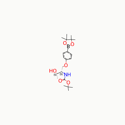 C[C@H](O)[C@H](COc1ccc(B2OC(C)(C)C(C)(C)O2)cc1)NC(=O)OC(C)(C)C